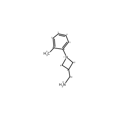 Cc1ccccc1N1CC(CN)C1